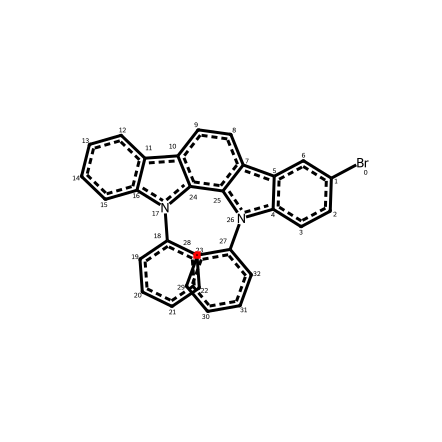 Brc1ccc2c(c1)c1ccc3c4ccccc4n(-c4ccccc4)c3c1n2-c1ccccc1